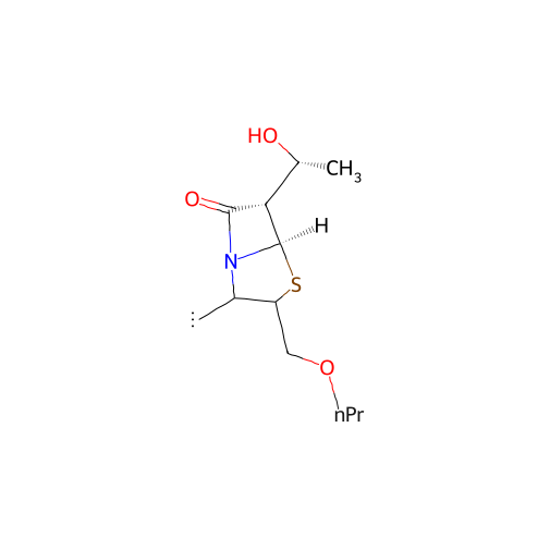 [C]C1C(COCCC)S[C@@H]2[C@@H]([C@@H](C)O)C(=O)N12